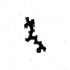 CC(=O)CCC=C(C)CCC1SC1(C)C